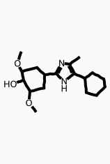 COC1CC(c2nc(C)c(C3CCCCC3)[nH]2)CC(OC)C1O